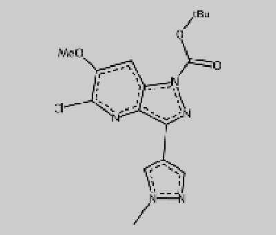 COc1cc2c(nc1Cl)c(-c1cnn(C)c1)nn2C(=O)OC(C)(C)C